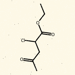 CCOC(=O)C(Cl)CC(C)=O